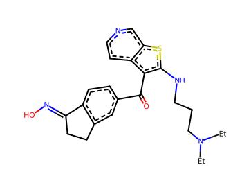 CCN(CC)CCCNc1sc2cnccc2c1C(=O)c1ccc2c(c1)CCC2=NO